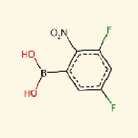 O=[N+]([O-])c1c(F)cc(F)cc1B(O)O